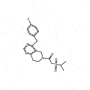 CN(C)S(=O)(=O)CC(=O)N1CCc2ncnc(Cc3ccc(F)cc3)c2C1